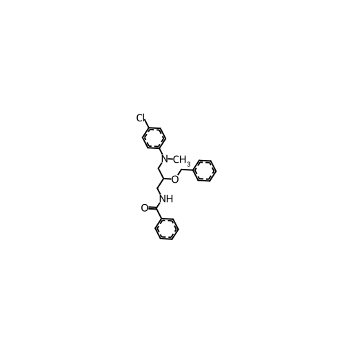 CN(CC(CNC(=O)c1ccccc1)OCc1ccccc1)c1ccc(Cl)cc1